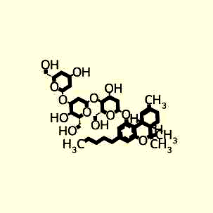 CCCCCc1cc(O[C@H]2C[C@@H](O)[C@H](O[C@H]3C[C@@H](O[C@H]4C[C@@H](O)C[C@@H](CO)O4)[C@H](O)[C@@H](CO)O3)[C@@H](CO)O2)c2c(c1)OC(C)(C)[C@@H]1CCC(C)=C[C@@H]21